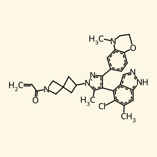 C=CC(=O)N1CC2(CC(n3nc(-c4ccc5c(c4)N(C)CCO5)c(-c4c(Cl)c(C)cc5[nH]ncc45)c3C)C2)C1